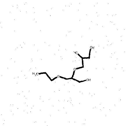 CCCOCC(CO)OCC(O)CO